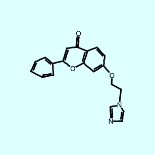 O=c1cc(-c2ccccc2)oc2cc(OCCn3ccnc3)ccc12